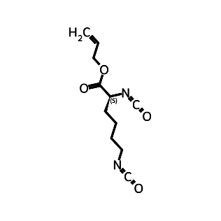 C=CCOC(=O)[C@H](CCCCN=C=O)N=C=O